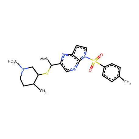 CNC(SC1CN(C(=O)O)CCC1C)c1cnc2c(ccn2S(=O)(=O)c2ccc(C)cc2)n1